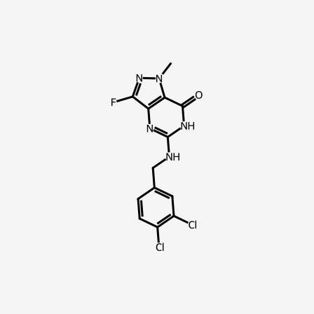 Cn1nc(F)c2nc(NCc3ccc(Cl)c(Cl)c3)[nH]c(=O)c21